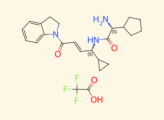 N[C@H](C(=O)N[C@H](C=CC(=O)N1CCc2ccccc21)C1CC1)C1CCCC1.O=C(O)C(F)(F)F